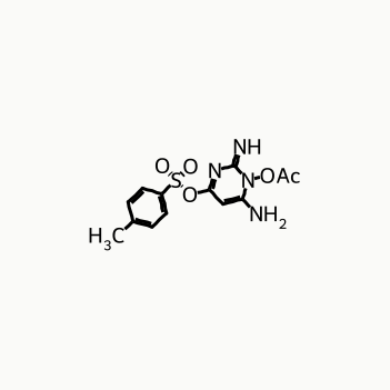 CC(=O)On1c(N)cc(OS(=O)(=O)c2ccc(C)cc2)nc1=N